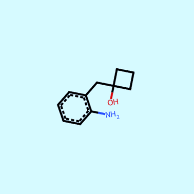 Nc1ccccc1CC1(O)CCC1